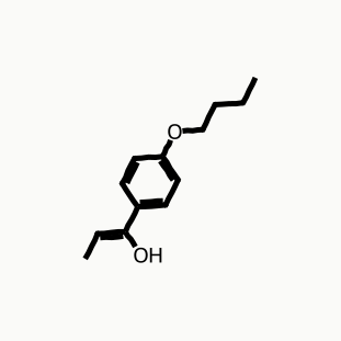 CC=C(O)c1ccc(OCCCC)cc1